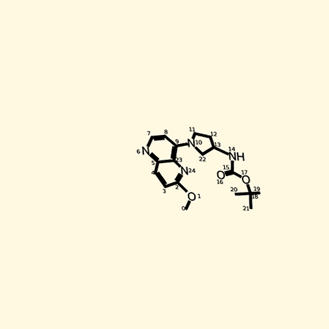 COc1ccc2nccc(N3CCC(NC(=O)OC(C)(C)C)C3)c2n1